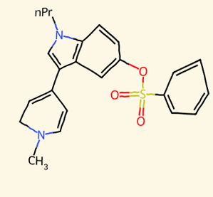 CCCn1cc(C2=CCN(C)C=C2)c2cc(OS(=O)(=O)c3ccccc3)ccc21